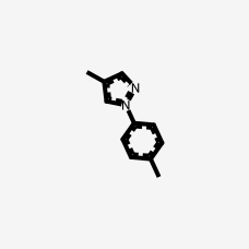 Cc1ccc(-n2cc(C)cn2)cc1